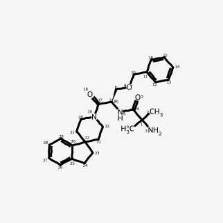 CC(C)(N)C(=O)N[C@H](COCc1ccccc1)C(=O)N1CCC2(CCc3ccccc32)CC1